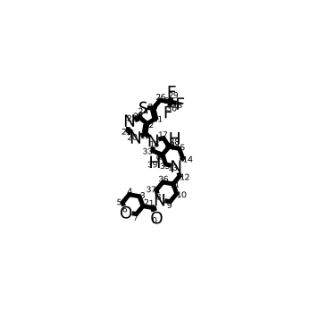 O=C(C1CCCOC1)N1CCC(CN2CC[C@@H]3CN(c4ncnc5sc(CC(F)(F)F)cc45)C[C@@H]3C2)CC1